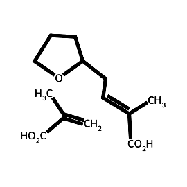 C=C(C)C(=O)O.CC(=CCC1CCCO1)C(=O)O